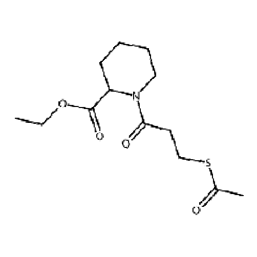 CCOC(=O)[C]1CCCCN1C(=O)CCSC(C)=O